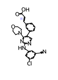 N#Cc1cc(Cl)cc(Nc2ncc(-c3cccc(/C=C/C(=O)O)c3)c(N3CCOCC3)n2)c1